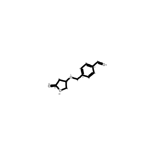 O=Cc1ccc(COC2COC(=O)C2)cc1